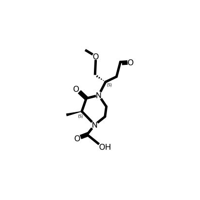 COC[C@H](CC=O)N1CCN(C(=O)O)[C@@H](C)C1=O